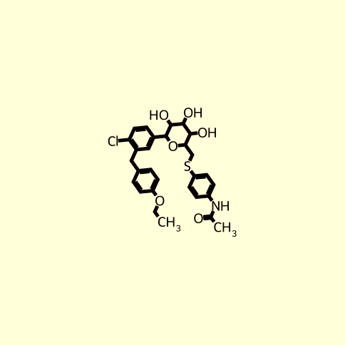 CCOc1ccc(Cc2cc(C3OC(CSc4ccc(NC(C)=O)cc4)C(O)C(O)C3O)ccc2Cl)cc1